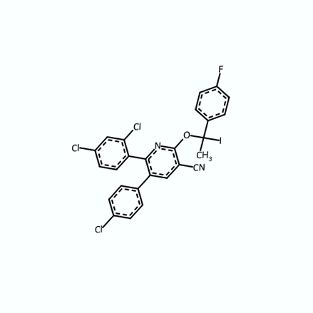 CC(I)(Oc1nc(-c2ccc(Cl)cc2Cl)c(-c2ccc(Cl)cc2)cc1C#N)c1ccc(F)cc1